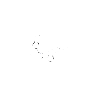 CCCCCOc1ccc(/C(=N/C(=N)c2cccc3c2CCN3CC(N)(CO)CO)OC)cc1Cl